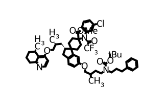 COC(=O)C1(N(C(=O)C(F)(F)F)c2cccc(Cl)c2)CCC2(CC1)c1cc(OCC(C)CCN(CCCc3ccccc3)C(=O)OC(C)(C)C)ccc1C[C@@H]2C[C@@H](C)COc1ccnc2c1[C@H](C)CCC2